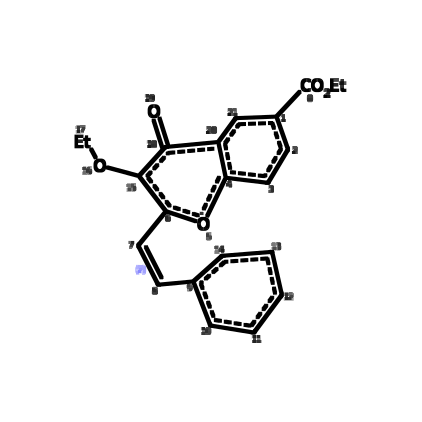 CCOC(=O)c1ccc2oc(/C=C\c3ccccc3)c(OCC)c(=O)c2c1